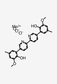 COc1cc(C)cc(-c2ccc(-c3ccc(-c4cc(C)cc(OC)c4O)cn3)nc2)c1O.[Cl-].[Cl-].[Cl-].[Mn+3]